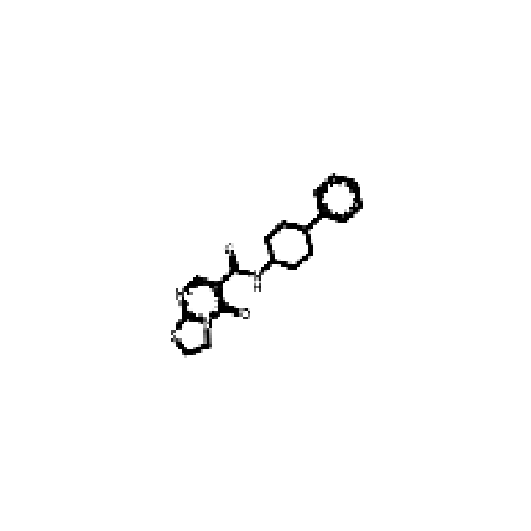 O=C(NC1CCC(c2ccccc2)CC1)c1cnc2n(c1=O)CCS2